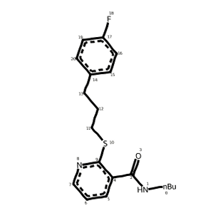 CCCCNC(=O)c1cccnc1SCCCc1ccc(F)cc1